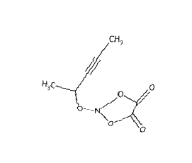 CC#CC(C)On1oc(=O)c(=O)o1